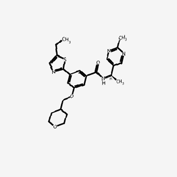 CCc1cnc(-c2cc(OCC3CCOCC3)cc(C(=O)N[C@H](C)c3cnc(C)nc3)c2)s1